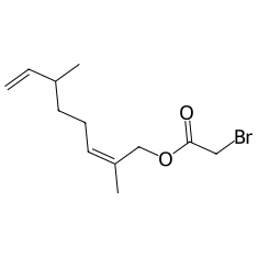 C=CC(C)CCC=C(C)COC(=O)CBr